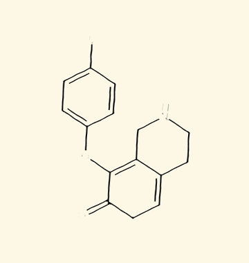 O=C1CC=C2CCNCC2=C1Oc1ccc(C(F)(F)F)cc1